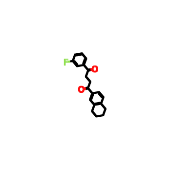 O=C(CCC(=O)c1ccc2c(c1)CCCC2)c1cccc(F)c1